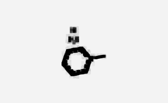 C[n+]1ccccc1.I.S